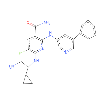 NCC(Nc1nc(Nc2cncc(-c3ccccc3)c2)c(C(N)=O)cc1F)C1CC1